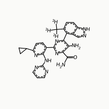 [2H]C([2H])([2H])c1ccc2[nH]ncc2c1-c1nc(-c2ccc(C3CC3)nc2Nc2ncccn2)nc(C(N)=O)c1N